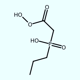 CCCP(=O)(O)CC(=O)OO